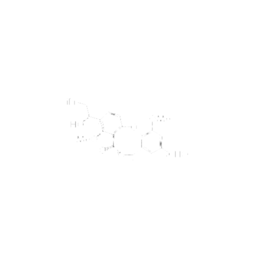 COc1cc(C=O)cc2c1Oc1ccc(C(O)CC(C)C)c(OC)c1C(=O)OC2